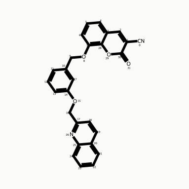 N#Cc1cc2cccc(OCc3cccc(OCc4ccc5ccccc5n4)c3)c2oc1=O